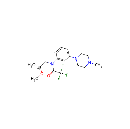 CO[C@H](C)CN(C(=O)C(F)(F)F)c1[c]ccc(N2CCN(C)CC2)c1